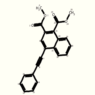 COC(=O)c1cc(C#Cc2ccccc2)c2ccccc2c1C(=O)OC